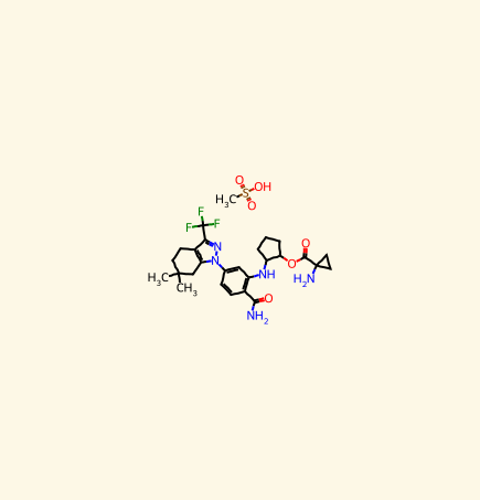 CC1(C)CCc2c(C(F)(F)F)nn(-c3ccc(C(N)=O)c(NC4CCCC4OC(=O)C4(N)CC4)c3)c2C1.CS(=O)(=O)O